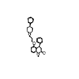 CN1C(=O)CC(c2ccccc2)c2c(OCCCN3CCC(c4ccccc4)CC3)cccc21